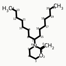 C=C1OCCCN1C(CCCCCCC)CCCCCCC